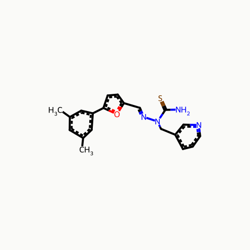 Cc1cc(C)cc(-c2ccc(C=NN(Cc3cccnc3)C(N)=S)o2)c1